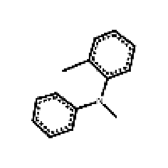 Cc1ccccc1N(C)c1[c]cccc1